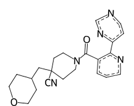 N#CC1(CC2CCOCC2)CCN(C(=O)c2cccnc2-c2ccncn2)CC1